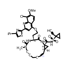 C#CC1(S(=O)(=O)NC(=O)[C@@]23C[C@H]2/C=C\CCCCN(C)C(=O)N[C@@H](CCOc2cc(-c4nc(C(C)C)cs4)nc4c(Cl)c(OC)ccc24)C(=O)N3)CC1